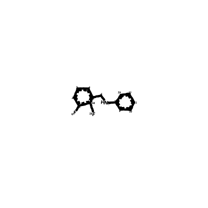 Fc1cccc(CNc2cc[c]cc2)c1F